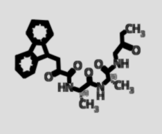 CCC(=O)CNC(=O)[C@H](C)NC(=O)[C@H](C)NC(=O)C(=O)CC1c2ccccc2-c2ccccc21